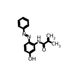 C=C(C)C(=O)Nc1cc(O)ccc1N=Nc1ccccc1